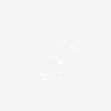 CCCCNC1CCNCC1